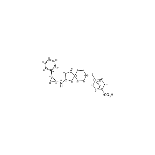 O=C(O)C12CCC(CN3CCC4(CC3)CC(N[C@@H]3C[C@H]3c3ccccc3)CO4)(CC1)CC2